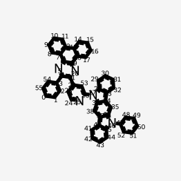 c1ccc(-c2nc3c4ccccc4c4ccccc4c3nc2-c2ccnc(-n3c4ccccc4c4cc5c(cc43)c3ccccc3n5-c3ccccc3)c2)cc1